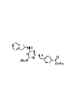 COC(=O)c1ccc(CNc2nc(NC3Cc4ccccc4C3)nc(OC)n2)cc1